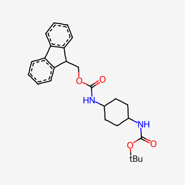 CC(C)(C)OC(=O)NC1CCC(NC(=O)OCC2c3ccccc3-c3ccccc32)CC1